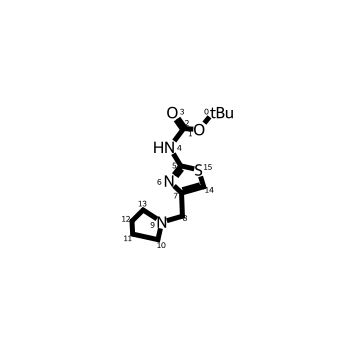 CC(C)(C)OC(=O)Nc1nc(CN2CCCC2)cs1